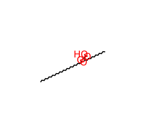 CCCCCCCCCCCCCCCCCCCCCCCC(=O)OC(CCCCCCCCCCC)CC(=O)O